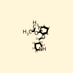 CC(C)Oc1ncccc1OC[C@H]1CCCNC1